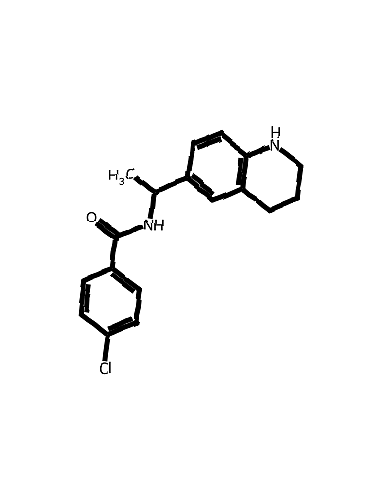 CC(NC(=O)c1ccc(Cl)cc1)c1ccc2c(c1)CCCN2